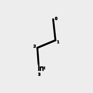 CC[CH2][In]